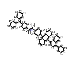 [2H]/C(=C(/[2H])c1ccc(N(c2ccccc2)c2ccccc2)cc1)c1ccc(-c2c3ccccc3c(-c3ccc(-c4ccccc4)c4ccccc34)c3ccccc23)cc1